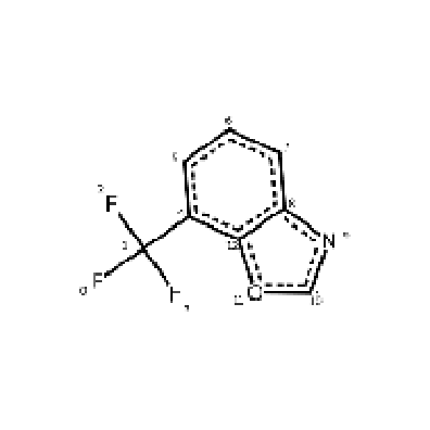 FC(F)(F)c1cccc2n[c]oc12